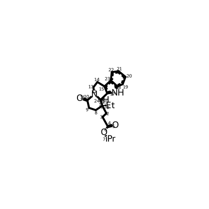 CC[C@@]1(CCC(=O)OC(C)C)CCC(=O)N2CCc3c([nH]c4ccccc34)[C@@H]21